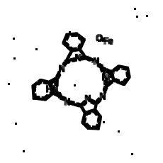 [O]=[Fe].c1ccc2c(c1)-c1nc-2nc2[nH]c(nc3nc(nc4[nH]c(n1)c1ccccc41)-c1ccccc1-3)c1ccccc21